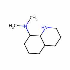 CN(C)C1CCCC2CCCNC21